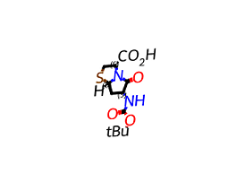 CC(C)(C)OC(=O)N[C@H]1C[C@@H]2SC[C@H](C(=O)O)N2C1=O